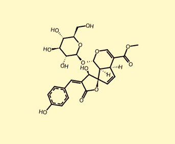 COC(=O)C1=CO[C@@H](O[C@@H]2O[C@H](CO)[C@@H](O)[C@H](O)[C@H]2O)[C@H]2[C@@H]1C=C[C@@]21OC(=O)/C(=C\c2ccc(O)cc2)[C@H]1O